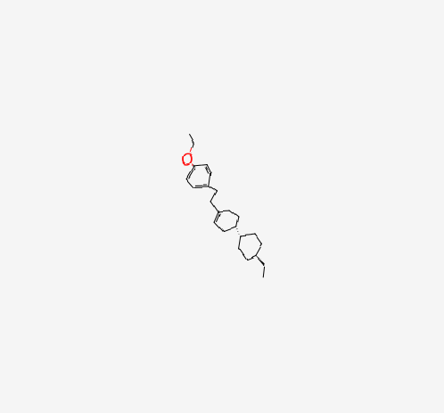 CCOc1ccc(CCC2=CCC([C@H]3CC[C@H](CC)CC3)CC2)cc1